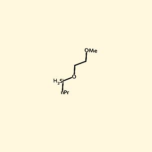 CCC[SiH2]OCCOC